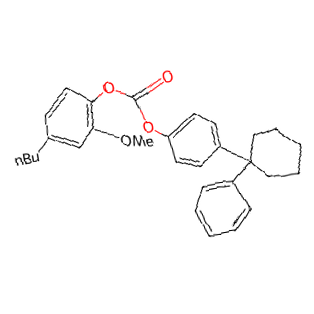 CCCCc1ccc(OC(=O)Oc2ccc(C3(c4ccccc4)CCCCC3)cc2)c(OC)c1